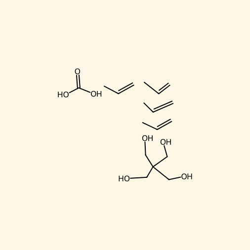 C=CC.C=CC.C=CC.C=CC.O=C(O)O.OCC(CO)(CO)CO